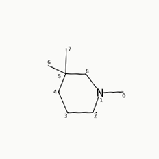 CN1[CH]CCC(C)(C)C1